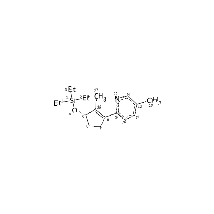 CC[Si](CC)(CC)O[C@H]1CCC(c2ccc(C)cn2)=C1C